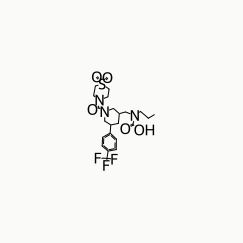 CCCN(CC1CC(c2ccc(C(F)(F)F)cc2)CN(C(=O)N2CCS(=O)(=O)CC2)C1)C(=O)O